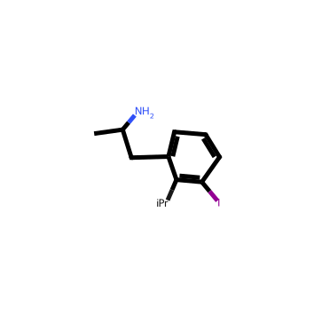 CC(N)Cc1cccc(I)c1C(C)C